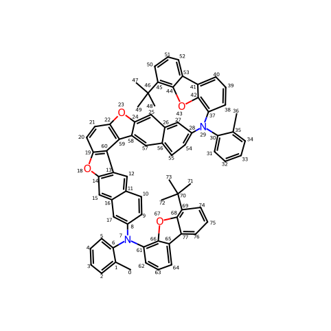 Cc1ccccc1N(c1ccc2cc3c(cc2c1)oc1ccc2oc4cc5cc(N(c6ccccc6C)c6cccc7c6oc6c(C(C)(C)C)cccc67)ccc5cc4c2c13)c1cccc2c1oc1c(C(C)(C)C)cccc12